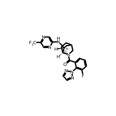 O=C(c1cccc(F)c1-n1nccn1)N1CC2CC[C@H]1[C@H](Nc1cnc(C(F)(F)F)cn1)C2